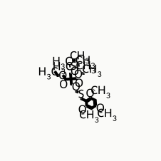 CCOC(=O)C(COCSCc1c(OC)cc(OC)cc1OC)(CO[Si](C)(C)C(C)(C)C)C(=O)OCC